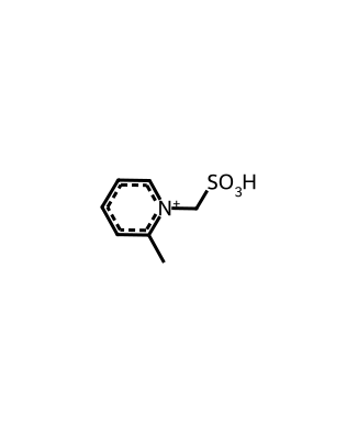 Cc1cccc[n+]1CS(=O)(=O)O